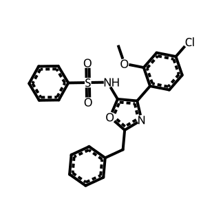 COc1cc(Cl)ccc1-c1nc(Cc2ccccc2)oc1NS(=O)(=O)c1ccccc1